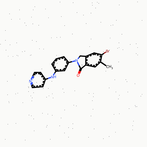 Cc1cc2c(cc1Br)CN(c1cccc(Nc3ccncc3)c1)C2=O